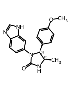 COc1ccc([C@H]2[C@@H](C)NC(=O)N2c2ccc3nc[nH]c3c2)cc1